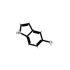 C[CH]c1ccc2[nH]ccc2c1